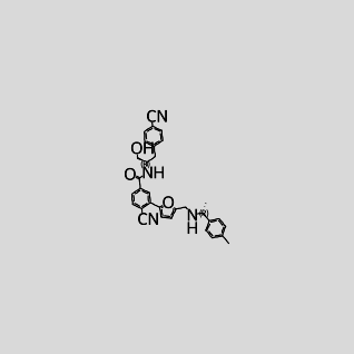 Cc1ccc([C@@H](C)NCc2ccc(-c3cc(C(=O)N[C@@H](CO)Cc4ccc(C#N)cc4)ccc3C#N)o2)cc1